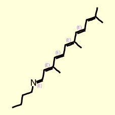 CCCC/N=C/C=C(C)/C=C/C=C(C)/C=C/C=C(C)C